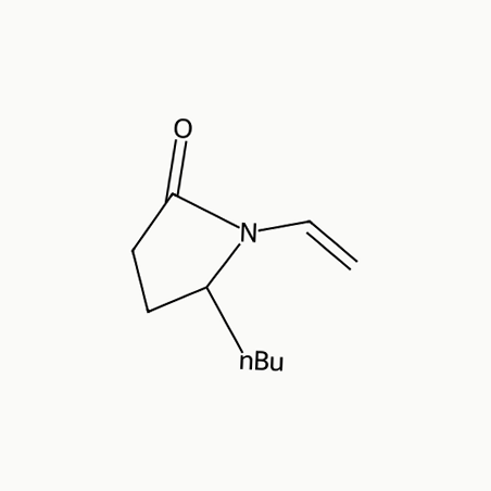 C=CN1C(=O)CCC1CCCC